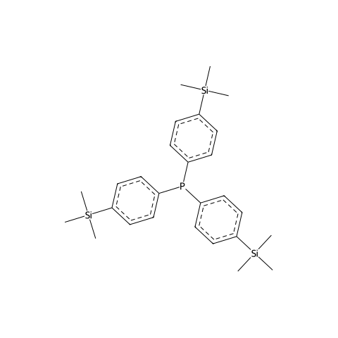 C[Si](C)(C)c1ccc(P(c2ccc([Si](C)(C)C)cc2)c2ccc([Si](C)(C)C)cc2)cc1